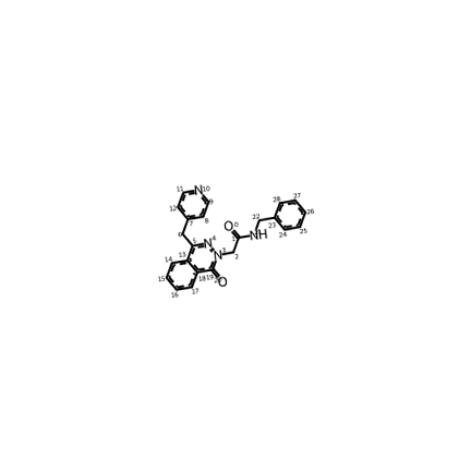 O=C(Cn1nc(Cc2ccncc2)c2ccccc2c1=O)NCc1ccccc1